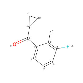 Cc1c(F)cccc1C(=O)C1CC1